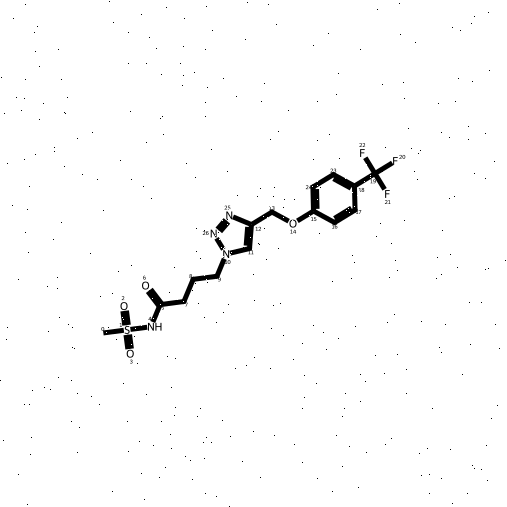 CS(=O)(=O)NC(=O)CCCn1cc(COc2ccc(C(F)(F)F)cc2)nn1